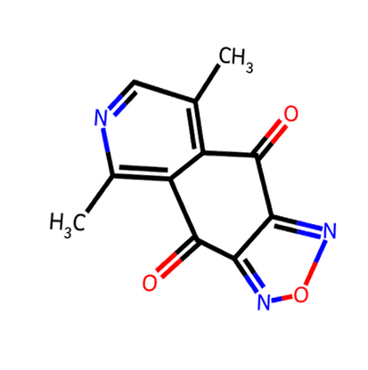 Cc1cnc(C)c2c1C(=O)c1nonc1C2=O